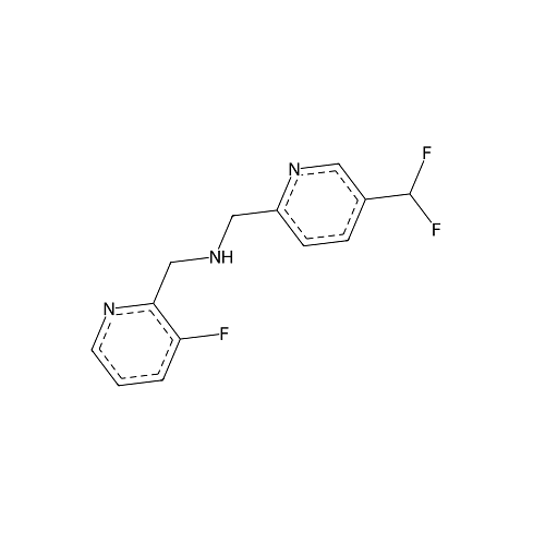 Fc1cccnc1CNCc1ccc(C(F)F)cn1